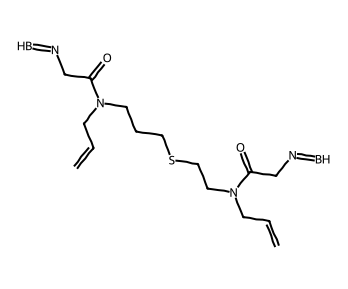 B=NCC(=O)N(CC=C)CCCSCCN(CC=C)C(=O)CN=B